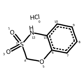 Cl.O=S1(=O)COc2ccccc2N1